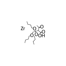 CCCCOCC(OCCCC)(OCCCC)C(C(C)=O)C(=O)O.[Zr]